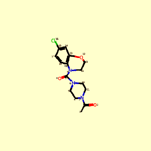 CC(=O)N1CCN(C(=O)N2CCOc3cc(Cl)ccc32)CC1